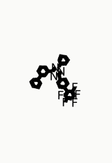 Fc1c(F)c(F)c(-c2ccc(-c3nc(-c4ccccc4)nc(-c4cccc(-c5ccccc5)c4)n3)cc2)c(F)c1F